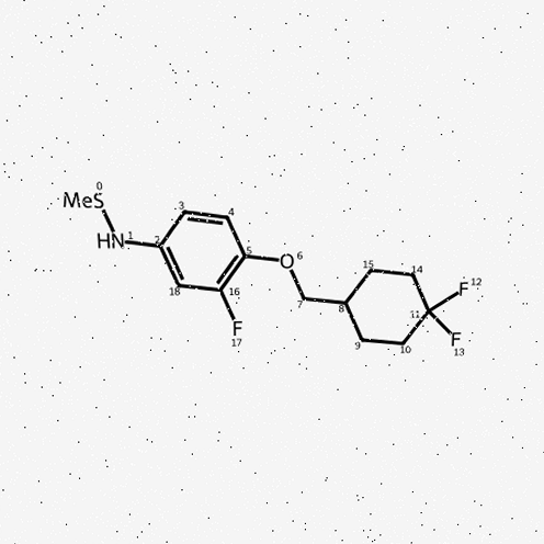 CSNc1ccc(OCC2CCC(F)(F)CC2)c(F)c1